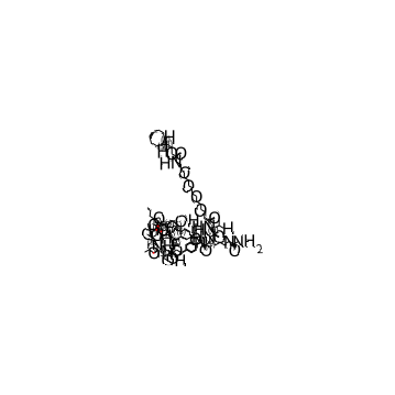 CCCC1O[C@@H]2CC3[C@@H]4C[C@H](F)C5=CC(=O)C=C[C@]5(C)[C@@]4(F)[C@@H](O)C[C@]3(C)[C@]2(C(=O)COC(=O)[C@H](CC(C)C)NC(=O)[C@H](CO)NC(=O)OCc2ccc(NC(=O)[C@H](CCCNC(N)=O)NC(=O)[C@@H](NC(=O)CCOCCOCCOCCOCCNC(=O)OC[C@@H]3[C@@H]4CCC#CCC[C@@H]43)C(C)C)cc2)O1